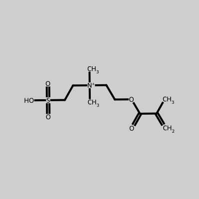 C=C(C)C(=O)OCC[N+](C)(C)CCS(=O)(=O)O